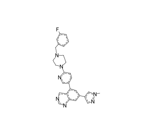 Cn1cc(-c2cc(-c3ccc(N4CCN(Cc5cccc(F)c5)CC4)nc3)c3cncnc3c2)cn1